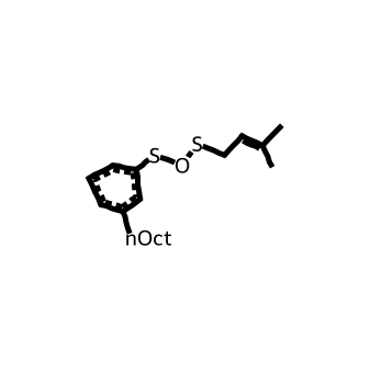 CCCCCCCCc1cccc(SOSCC=C(C)C)c1